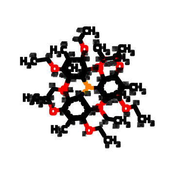 CCOc1c(C)c(OCC)c(OCC)c(P(c2c(OCC)c(OCC)c(C)c(OCC)c2OCC)c2c(OCC)c(OCC)c(C)c(OCC)c2OCC)c1OCC